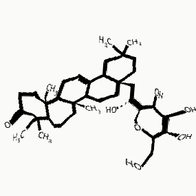 CC1(C)CC[C@]2(C[C@@H](O)[C@@H]3OC(CO)[C@H](O)C(O)C3O)CCC3C(=CCC4[C@@]3(C)CCC3C(C)(C)C(=O)CC[C@@]34C)C2C1